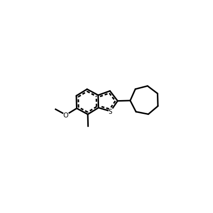 COc1ccc2cc(C3CCCCCC3)sc2c1C